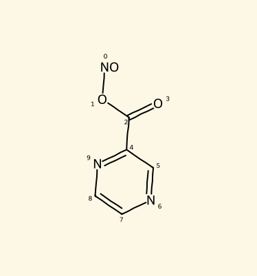 O=NOC(=O)c1cnccn1